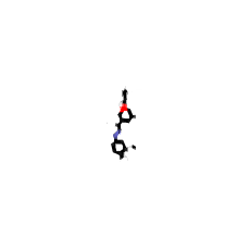 COc1ccc(/C=C/C(=O)c2cc(F)cc(OCC(=O)O)c2)cc1OC